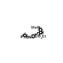 CCOC(=O)C1(CCCc2c(F)cnc3ccc(OC)cc23)CCN(CCOc2cccc(F)c2)CC1